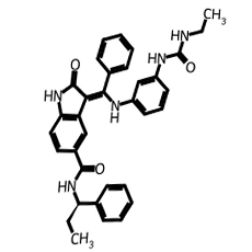 CCNC(=O)Nc1cccc(NC(=C2C(=O)Nc3ccc(C(=O)N[C@H](CC)c4ccccc4)cc32)c2ccccc2)c1